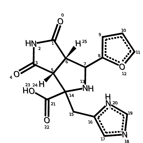 O=C1NC(=O)[C@@H]2[C@H]1C(c1ccco1)NC2(Cc1cnc[nH]1)C(=O)O